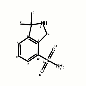 CC1(C)NCc2c1cccc2S(N)(=O)=O